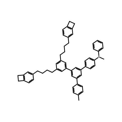 Cc1ccc(-c2cc(-c3ccc(N(C)c4ccccc4)cc3)cc(-c3cc(CCCCc4ccc5c(c4)CC5)cc(CCCCc4ccc5c(c4)CC5)c3)c2)cc1